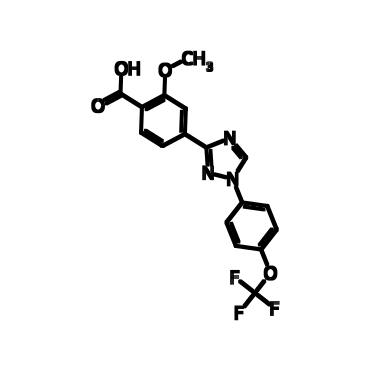 COc1cc(-c2ncn(-c3ccc(OC(F)(F)F)cc3)n2)ccc1C(=O)O